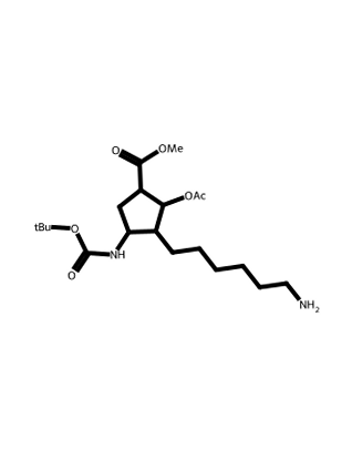 COC(=O)C1CC(NC(=O)OC(C)(C)C)C(CCCCCCN)C1OC(C)=O